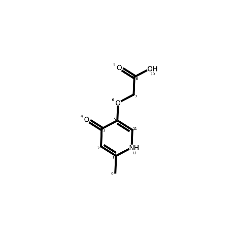 Cc1cc(=O)c(OCC(=O)O)c[nH]1